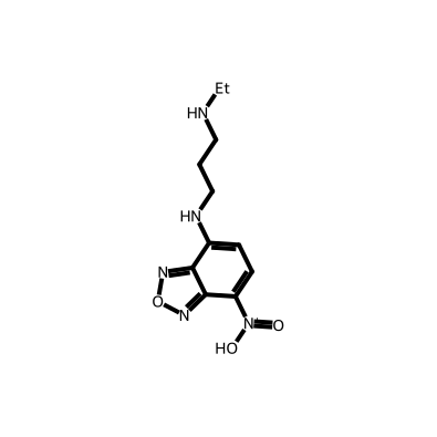 CCNCCCNc1ccc([N+](=O)O)c2nonc12